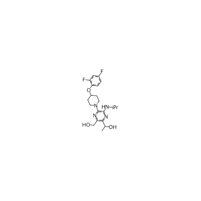 CC(C)Nc1nc(C(C)O)c(CO)nc1N1CCC(Oc2ccc(F)cc2F)CC1